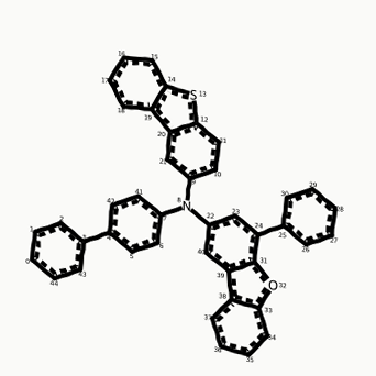 c1ccc(-c2ccc(N(c3ccc4sc5ccccc5c4c3)c3cc(-c4ccccc4)c4oc5ccccc5c4c3)cc2)cc1